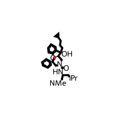 CNCC(CC(C)C)NC(=O)N1CCC[C@@H]([C@@](O)(CCCC2CC2)c2ccccc2Oc2ccccc2)C1